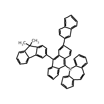 CC1(C)c2ccccc2-c2cc(-c3c4ccccc4c(N4c5ccccc5C=Cc5ccccc54)c4ccc(-c5ccc6ccccc6c5)cc34)ccc21